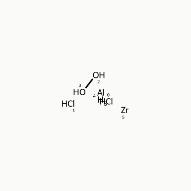 Cl.Cl.OO.[AlH3].[Zr]